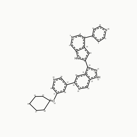 c1cc(-c2cncc3[nH]c(-c4n[nH]c5cnc(-c6cncc(OC7CCCCC7)c6)cc45)cc23)ccn1